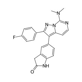 CN(C)c1nccc2c(-c3ccc4c(c3)CC(=O)N4)c(-c3ccc(F)cc3)nn12